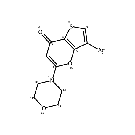 CC(=O)c1csc2c(=O)cc(N3CCOCC3)oc12